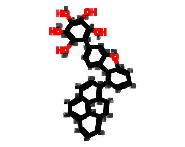 Oc1c(O)c(O)c(-c2ccc3c(c2)oc2cccc(-c4ccc5ccc6cccc7ccc4c5c67)c23)c(O)c1O